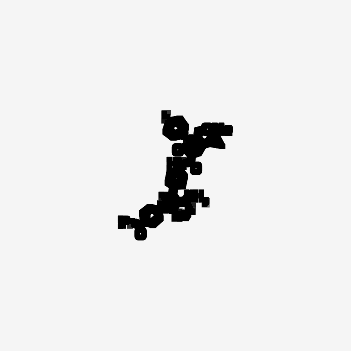 COCc1c(C2CC2)cc(C(=O)Nc2ccc(-c3nn(C4CCN(C(=O)C(C)C)CC4)c4ncnc(N)c34)cc2)c(=O)n1-c1ccc(F)cc1